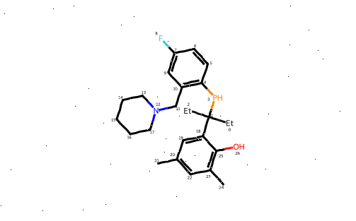 CCC(CC)(Pc1ccc(F)cc1CN1CCCCC1)c1cc(C)cc(C)c1O